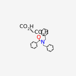 O=C(O)/C=C\C(=O)O.O=C(c1ccccc1)N(Cc1ccccc1)Cc1ccccc1